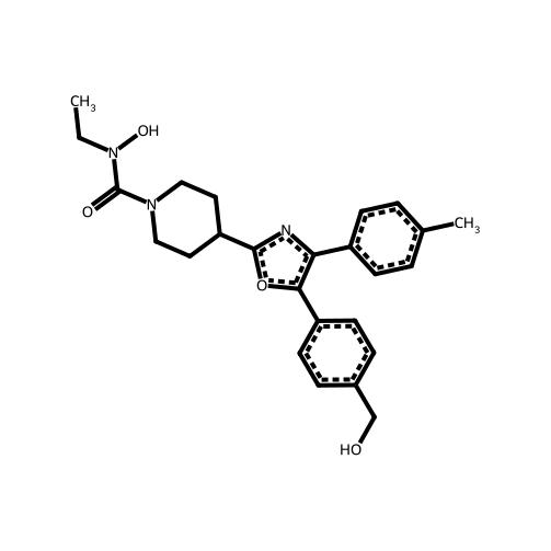 CCN(O)C(=O)N1CCC(c2nc(-c3ccc(C)cc3)c(-c3ccc(CO)cc3)o2)CC1